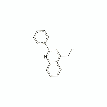 [CH2]Cc1cc(-c2ccccc2)nc2ccccc12